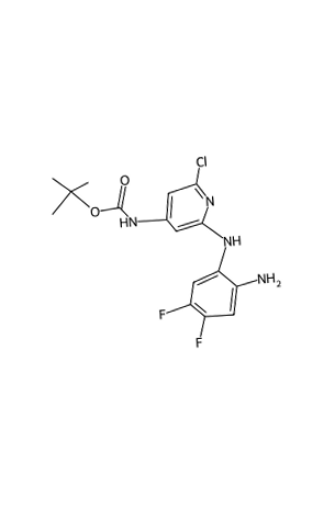 CC(C)(C)OC(=O)Nc1cc(Cl)nc(Nc2cc(F)c(F)cc2N)c1